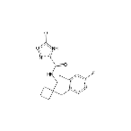 O=C(NCC1(Cc2ccc(F)cc2F)CCC1)c1noc(=O)[nH]1